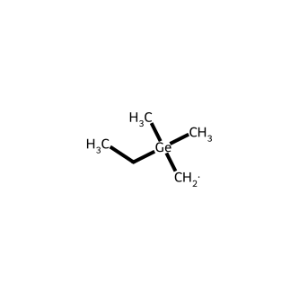 [CH2][Ge]([CH3])([CH3])[CH2]C